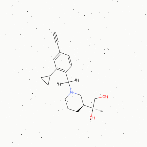 [2H]C([2H])(c1ccc(C#C)cc1C1CC1)N1CCC[C@H]([C@](C)(O)CO)C1